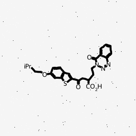 CC(C)CCOc1ccc2cc(C(=O)CC(CCn3nnc4ccccc4c3=O)C(=O)O)sc2c1